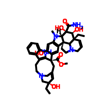 CC[C@]1(O)C=C2CN(CCc3c([nH]c4ccccc34)[C@@](C(=O)OC)(c3cc4c(cc3O)N(C)[C@H]3[C@@](O)(C(N)=O)[C@H](O)[C@]5(CC)C=CCN6CC[C@]43C65)C2)C1